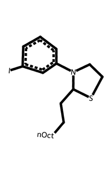 CCCCCCCCCCC1SCCN1c1cccc(I)c1